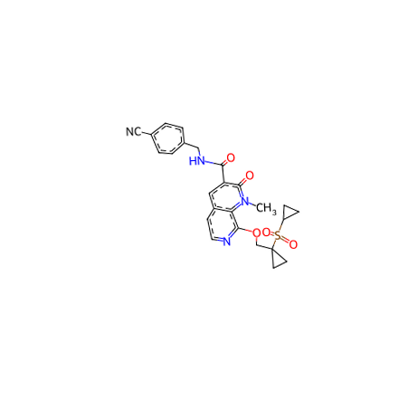 Cn1c(=O)c(C(=O)NCc2ccc(C#N)cc2)cc2ccnc(OCC3(S(=O)(=O)C4CC4)CC3)c21